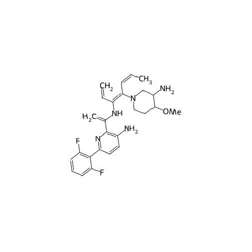 C=C/C(NC(=C)c1nc(-c2c(F)cccc2F)ccc1N)=C(\C=C/C)N1CCC(OC)C(N)C1